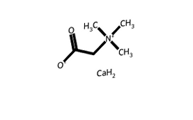 C[N+](C)(C)CC(=O)[O-].[CaH2]